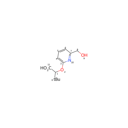 CC(C)(C)C(Oc1cccc(CO)n1)C(=O)O